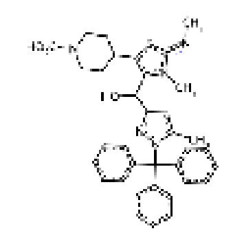 C/N=c1\sc(C2CCN(C(=O)O)CC2)c(C(O)c2cc(C)n(C(c3ccccc3)(c3ccccc3)c3ccccc3)n2)n1C